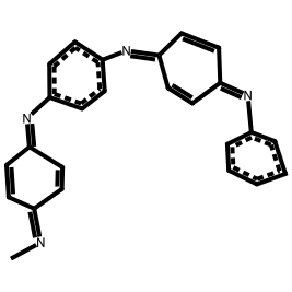 CN=C1C=CC(=Nc2ccc(N=C3C=CC(=Nc4ccccc4)C=C3)cc2)C=C1